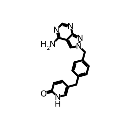 Nc1ncnc2nn(Cc3ccc(Cc4ccc(=O)[nH]c4)cc3)cc12